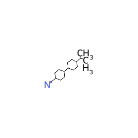 CC(C)C1CCC(C2CCC(C#N)CC2)CC1